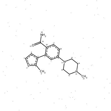 Cc1sccc1-c1cc(N2CCN(C)CC2)ccc1C(N)=O